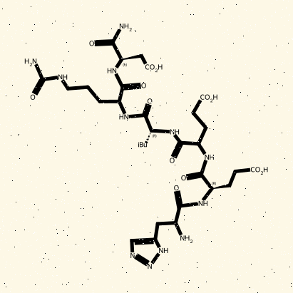 CCC(C)[C@@H](NC(=O)C(CCC(=O)O)NC(=O)[C@@H](CCC(=O)O)NC(=O)C(N)Cc1cnn[nH]1)C(=O)NC(CCCNC(N)=O)C(=O)N[C@H](CC(=O)O)C(N)=O